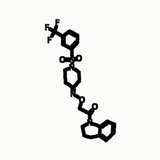 O=C(CON=C1CCN(S(=O)(=O)c2cccc(C(F)(F)F)c2)CC1)N1CCCc2ccccc21